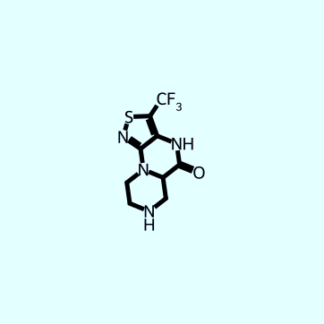 O=C1Nc2c(nsc2C(F)(F)F)N2CCNCC12